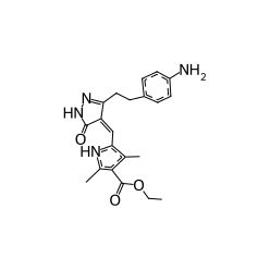 CCOC(=O)c1c(C)[nH]c(C=C2C(=O)NN=C2CCc2ccc(N)cc2)c1C